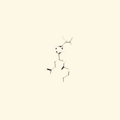 CC(=O)[C@H](CO)NC(=O)N[C@@H](CCC(N)=O)c1nc([C@@H](N)C(C)O)no1